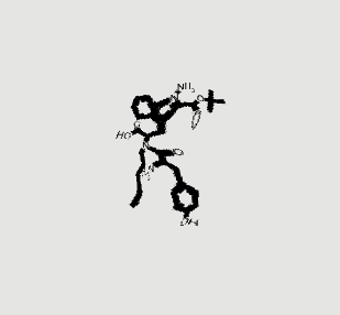 CCCCCN(C(=O)C(N)Cc1ccc(O)cc1)C(Cc1c(C(=O)OC(C)(C)C)n(N)c2ccccc12)C(=O)O